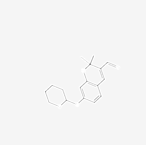 CC1(C)Oc2cc(OC3CCCCO3)ccc2C=C1C=O